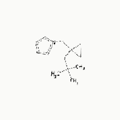 CC(C)(C)CC1(Cn2cccc2)CC1